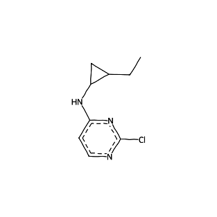 CCC1CC1Nc1ccnc(Cl)n1